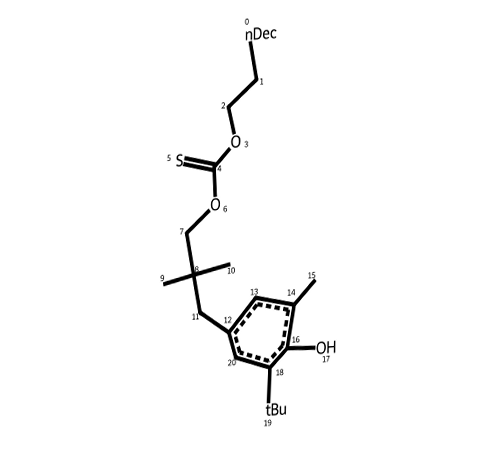 CCCCCCCCCCCCOC(=S)OCC(C)(C)Cc1cc(C)c(O)c(C(C)(C)C)c1